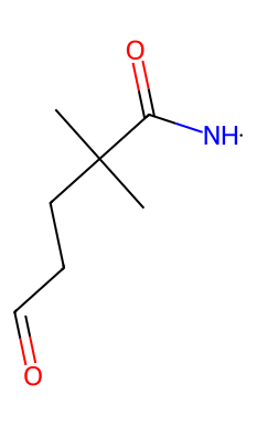 CC(C)(CCC=O)C([NH])=O